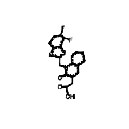 O=C(O)Cc1cc2ccccc2n(Cc2nc3ccc(F)c(F)c3s2)c1=O